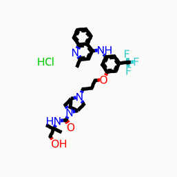 Cc1cc(Nc2cc(OCCCN3CC4CC3CN4C(=O)NC(C)(C)CO)cc(C(F)(F)F)c2)c2ccccc2n1.Cl